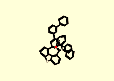 c1ccc(-c2cccc(-c3cc(-c4cccc5oc6cccc(-c7nc8ccccc8n7-c7ccccc7)c6c45)nc(-c4ccccc4)n3)c2)cc1